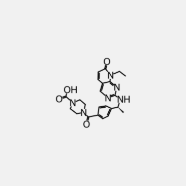 CCn1c(=O)ccc2cnc(N[C@@H](C)c3ccc(C(=O)N4CCN(C(=O)O)CC4)cc3)nc21